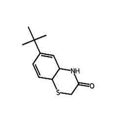 CC(C)(C)C1=CC2NC(=O)CSC2C=C1